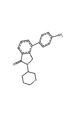 Nc1ccc(-c2cccc3c2CN(C2CCCOC2)C3=O)cc1